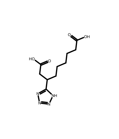 O=C(O)CCCCCC(CC(=O)O)c1nnn[nH]1